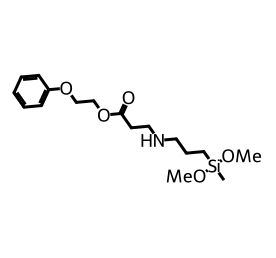 CO[Si](C)(CCCNCCC(=O)OCCOc1ccccc1)OC